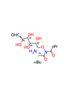 CCCC(=O)N(OC[C@@H](O)[C@@H](O)[C@H](O)[C@@H](O)C=O)C(=O)[C@@H](N)[C@@H](C)CC